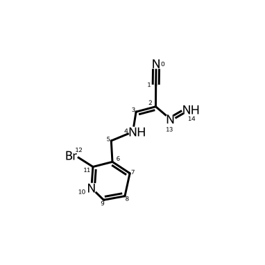 N#C/C(=C/NCc1cccnc1Br)N=N